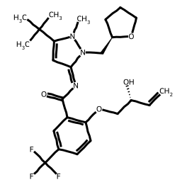 C=C[C@@H](O)COc1ccc(C(F)(F)F)cc1C(=O)N=c1cc(C(C)(C)C)n(C)n1C[C@H]1CCCO1